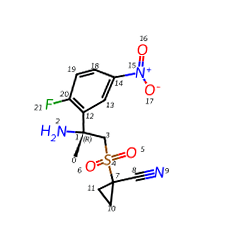 C[C@](N)(CS(=O)(=O)C1(C#N)CC1)c1cc([N+](=O)[O-])ccc1F